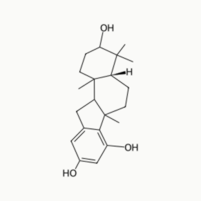 CC12CC[C@H]3C(C)(C)C(O)CCC3(C)C1Cc1cc(O)cc(O)c12